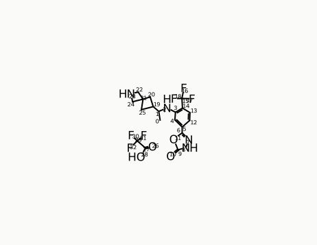 CC(Nc1cc(-c2n[nH]c(=O)o2)ccc1C(F)(F)F)C1CC2(CNC2)C1.O=C(O)C(F)(F)F